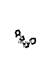 CC1CCCCC1N1CCC(Nc2nccc(N3CCCCCC3)n2)C1